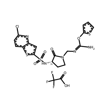 NC(=NCN1CC[C@H](NS(=O)(=O)c2cc3nc(Cl)ccc3s2)C1=O)Oc1cccs1.O=C(O)C(F)(F)F